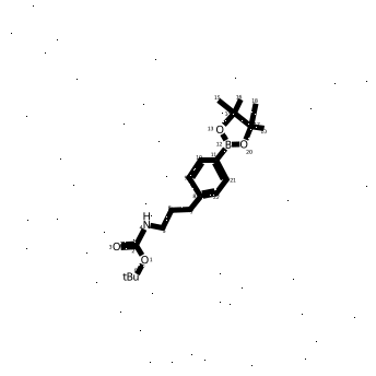 CC(C)(C)OC(=O)NCCCc1ccc(B2OC(C)(C)C(C)(C)O2)cc1